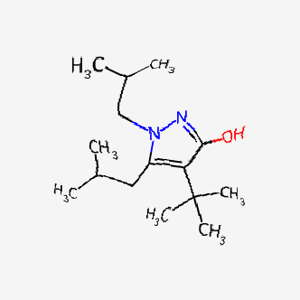 CC(C)Cc1c(C(C)(C)C)c(O)nn1CC(C)C